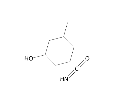 CC1CCCC(O)C1.N=C=O